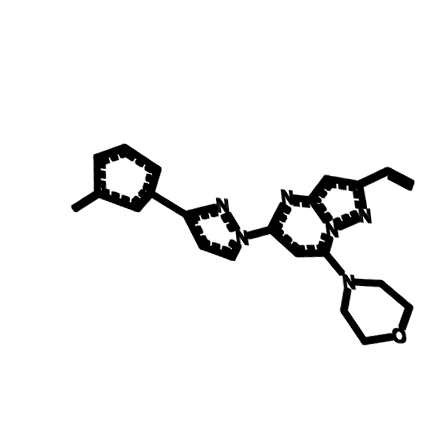 C=Cc1cc2nc(-n3ccc(-c4cccc(C)c4)n3)cc(N3CCOCC3)n2n1